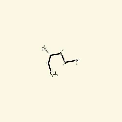 CC[C@@H](CC(Cl)(Cl)Cl)SSC(C)C